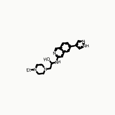 CCN1CCN(CC(O)Nc2cc3cc(-c4cn[nH]c4)ccc3cn2)CC1